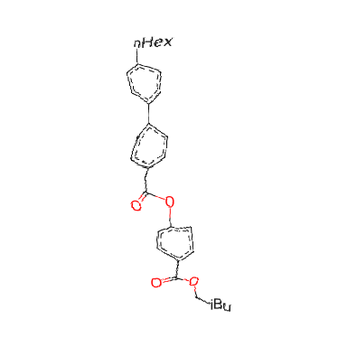 CCCCCCc1ccc(-c2ccc(C(=O)Oc3ccc(C(=O)OCC(C)CC)cc3)cc2)cc1